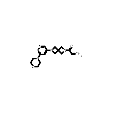 C=CC(=O)N1CC2(C1)CN(c1cnnc(N3CCOCC3)c1)C2